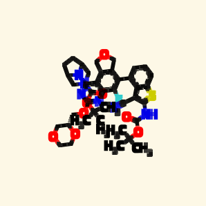 CC(C)(C)OC(=O)Nc1sc2cccc(-c3c4c(c5c(N6C7CCC6CN(C(=O)OC(C)(C)C)C7)nc(OC[C@H]6COCCO6)nc5c3F)COC4)c2c1C#N